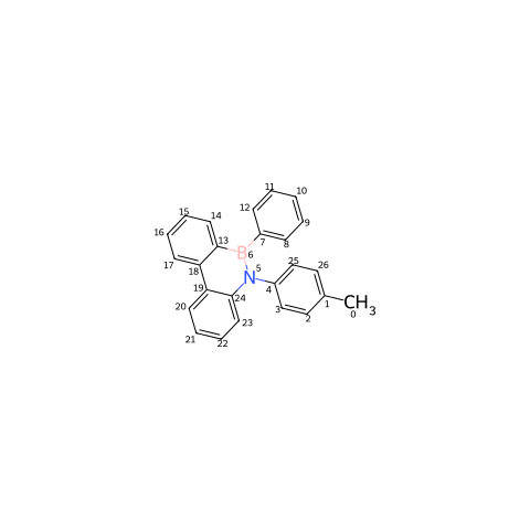 Cc1ccc(N2B(c3ccccc3)c3ccccc3-c3ccccc32)cc1